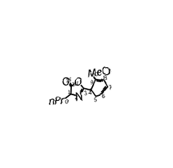 CCCC1N=C(C2CC=CC=C2OC)OC1=O